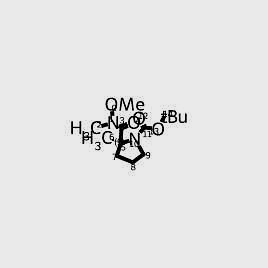 CON(C)C(=O)[C@]1(C)CCCN1C(=O)OC(C)(C)C